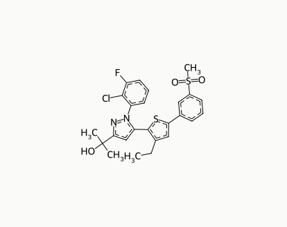 CCc1cc(-c2cccc(S(C)(=O)=O)c2)sc1-c1cc(C(C)(C)O)nn1-c1cccc(F)c1Cl